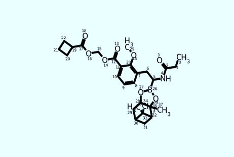 CCC(=O)NC(Cc1cccc(C(=O)OCOC(=O)C2CCC2)c1OC)B1OC2CC3CC(C3(C)C)C2(C)O1